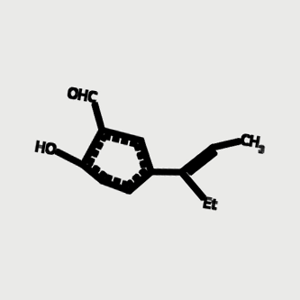 CC=C(CC)c1ccc(O)c(C=O)c1